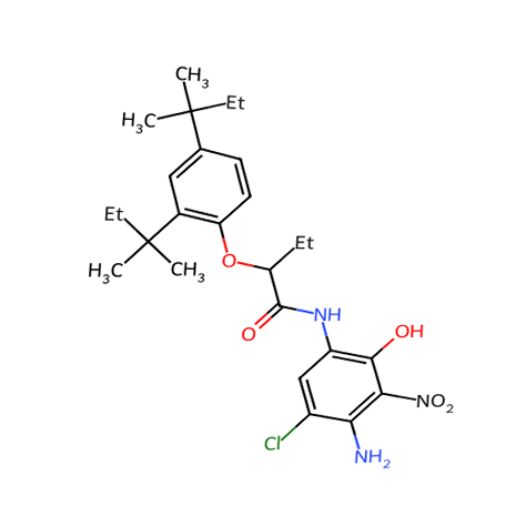 CCC(Oc1ccc(C(C)(C)CC)cc1C(C)(C)CC)C(=O)Nc1cc(Cl)c(N)c([N+](=O)[O-])c1O